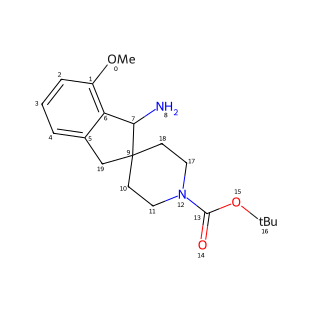 COc1cccc2c1C(N)C1(CCN(C(=O)OC(C)(C)C)CC1)C2